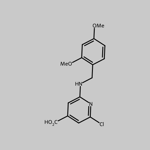 COc1ccc(CNc2cc(C(=O)O)cc(Cl)n2)c(OC)c1